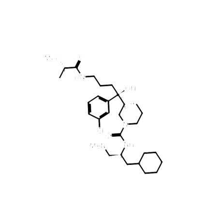 CNC[C@H](CC1CCCCC1)NC(=O)N1CCC[C@@H]([C@@](O)(CCCNC(=O)[C@H](C)OC)c2cccc(Cl)c2)C1